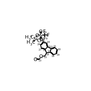 C[Si](C)(C)OS(=O)(=O)C(F)(F)F.O=COCC1c2ccccc2-c2ccccc21